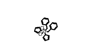 [Cl][Zr]([Cl])([CH2]c1ccccc1)([CH2]c1ccccc1)([CH]1C=CC=C1)[CH]1C=CC=C1